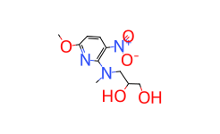 COc1ccc([N+](=O)[O-])c(N(C)CC(O)CO)n1